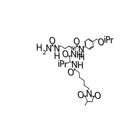 CC(C)OCc1ccc(NC(=O)[C@H](CCCNC(N)=O)NC(=O)C(NC(=O)CCCCCN2C(=O)CC(C)C2=O)C(C)C)cc1